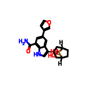 NC(=O)c1cc(-c2ccoc2)cc2c([C@H]3C[C@H]4CC[C@@H](C3)S4(O)O)c[nH]c12